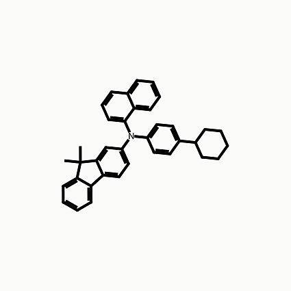 CC1(C)c2ccccc2-c2ccc(N(c3ccc(C4CCCCC4)cc3)c3cccc4ccccc34)cc21